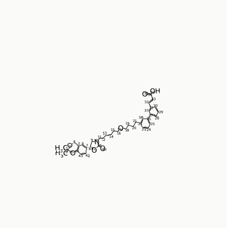 CC1(C)OCc2cc([C@@H]3CN(CCCCCCOCCCCc4cccc(-c5cccc(C=CC(=O)O)c5)c4)C(=O)O3)ccc2O1